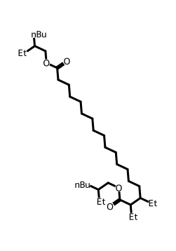 CCCCC(CC)COC(=O)CCCCCCCCCCCCCCC(CC)C(CC)C(=O)OCC(CC)CCCC